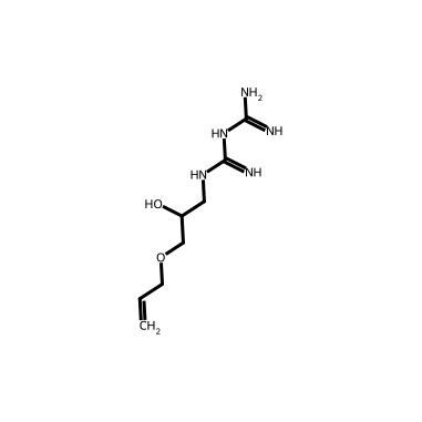 C=CCOCC(O)CNC(=N)NC(=N)N